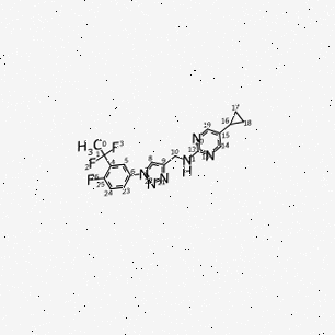 CC(F)(F)c1cc(-n2cc(CNc3ncc(C4CC4)cn3)nn2)ccc1F